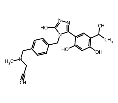 C#CCN(C)Cc1ccc(Cn2c(O)nnc2-c2cc(C(C)C)c(O)cc2O)cc1